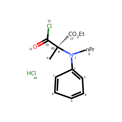 CCCN(c1ccccc1)[C@@](C)(C(=O)Cl)C(=O)OCC.Cl